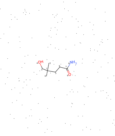 CC(C)(CO)CCC(N)=O